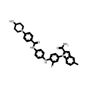 Cc1ccc2c(c1)cc(C(N)=O)n2-c1ccc(Nc2ccc(NC(=O)c3ccc(N4CCC(O)CC4)cc3)cc2)c(F)c1